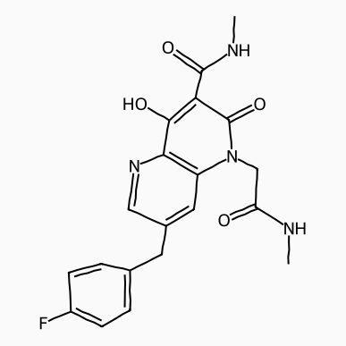 CNC(=O)Cn1c(=O)c(C(=O)NC)c(O)c2ncc(Cc3ccc(F)cc3)cc21